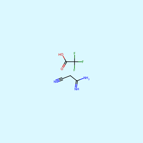 N#CCC(=N)N.O=C(O)C(F)(F)F